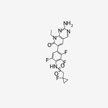 CCn1c(=O)c(-c2cc(F)c(NS(=O)(=O)CC3(F)CC3)c(F)c2F)cc2cnc(N)nc21